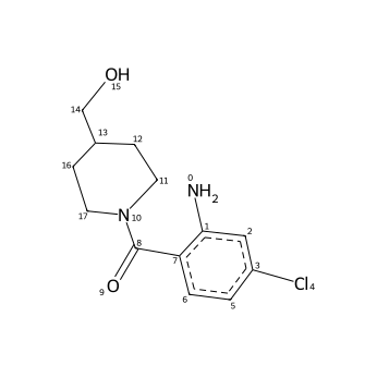 Nc1cc(Cl)ccc1C(=O)N1CCC(CO)CC1